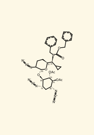 CC(=O)O[C@@H]1[C@@H](OC(C)=O)[C@H](N=[N+]=[N-])C[C@H](N=[N+]=[N-])[C@H]1O[C@H]1O[C@H]([C@H](C2CC2)N(Cc2ccccc2)C(=O)OCc2ccccc2)CCC1N=[N+]=[N-]